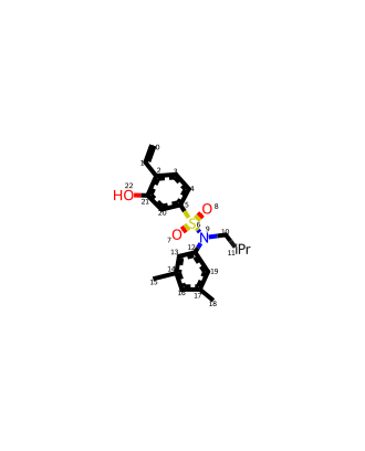 C=Cc1ccc(S(=O)(=O)N(CC(C)C)c2cc(C)cc(C)c2)cc1O